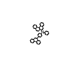 c1ccc(N(c2ccc(-c3cc4ccccc4c4ccccc34)cc2)c2cc3ccccc3c3c2ccc2ccccc23)cc1